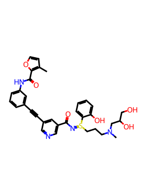 Cc1ccoc1C(=O)Nc1cccc(C#Cc2cncc(C(=O)N=S(CCCN(C)CC(O)CO)c3ccccc3O)c2)c1